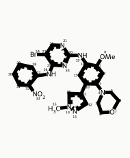 COc1cc(N2CCOCC2)c(-c2cnn(C)c2)cc1Nc1ncc(Br)c(Nc2ccccc2[N+](=O)[O-])n1